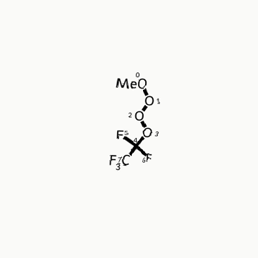 COOOOC(F)(F)C(F)(F)F